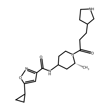 C[C@@H]1CC(NC(=O)c2cc(C3CC3)on2)CCN1C(=O)CCC1CCNC1